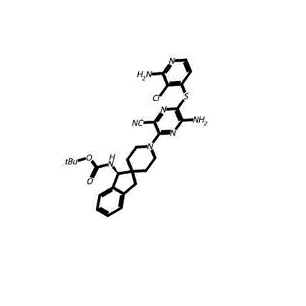 CC(C)(C)OC(=O)N[C@@H]1c2ccccc2CC12CCN(c1nc(N)c(Sc3ccnc(N)c3Cl)nc1C#N)CC2